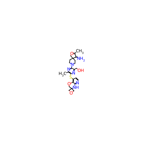 Cc1nc(N2CCC3(CC2)CO[C@@H](C)[C@H]3N)c(CO)nc1Sc1ccnc2c1OCC1(COC1)N2